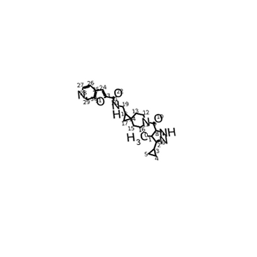 CC1C(C2CC2)=NNC1C(=O)N1CCC2(CC1)CC2CNC(=O)c1cc2ccncc2o1